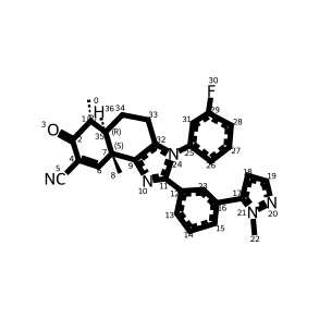 C[C@H]1C(=O)C(C#N)=C[C@@]2(C)c3nc(-c4cccc(-c5ccnn5C)c4)n(-c4cccc(F)c4)c3CC[C@H]12